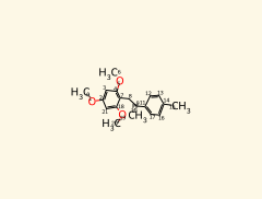 COc1cc(OC)c(C[C@@H](C)c2ccc(C)cc2)c(OC)c1